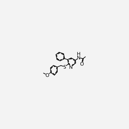 COc1ccc(CSc2ncc(NC(C)=O)cc2-c2ccccc2)cc1